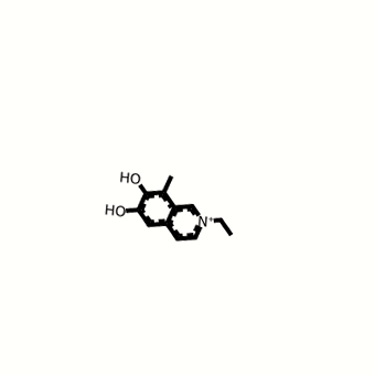 CC[n+]1ccc2cc(O)c(O)c(C)c2c1